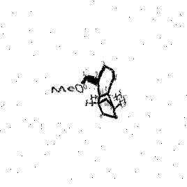 CO/C=C1/CC[C@H]2[C@@H]3CC[C@@H](C3)[C@@H]12